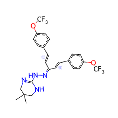 CC1(C)CN=C(NN=C(/C=C/c2ccc(OC(F)(F)F)cc2)/C=C/c2ccc(OC(F)(F)F)cc2)NC1